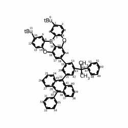 CC(C)(C)c1ccc2c(c1)B1c3cc(C(C)(C)C)ccc3Oc3cc(-c4cc(-c5c6ccccc6c(-c6ccccc6)c6ccccc56)cc(C(C)(C)c5ccccc5)c4)cc(c31)O2